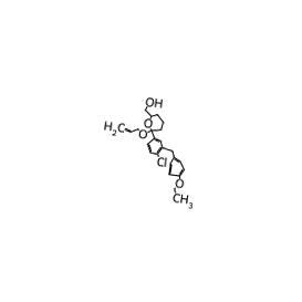 C=CCOC1(c2ccc(Cl)c(Cc3ccc(OCC)cc3)c2)CCCC(CO)O1